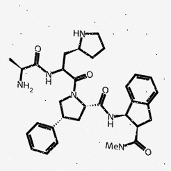 CNC(=O)[C@@H]1Cc2ccccc2[C@@H]1NC(=O)[C@@H]1C[C@H](c2ccccc2)CN1C(=O)C(C[C@@H]1CCCN1)NC(=O)[C@H](C)N